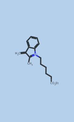 C=C1C(C)=[N+](CCCCCC(=O)OCC)c2ccccc21